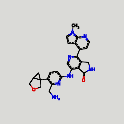 Cn1ccc2c(-c3ncc(Nc4ccc(C56COCC5C6)c(CN)n4)c4c3CNC4=O)ccnc21